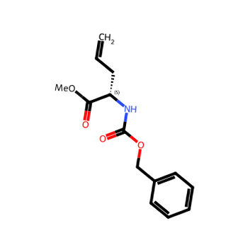 C=CC[C@H](NC(=O)OCc1ccccc1)C(=O)OC